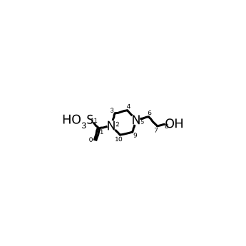 C=C(N1CCN(CCO)CC1)S(=O)(=O)O